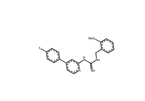 COc1ccccc1CNC(=N)Nc1cc(-c2ccc(F)cc2)ccn1